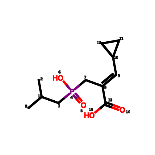 CC(C)CP(=O)(O)CC(=CC1CC1)C(=O)O